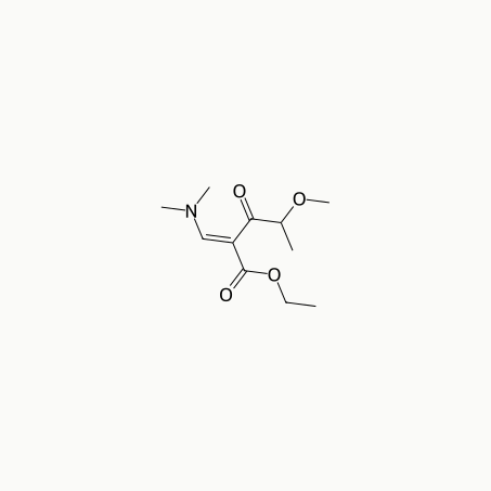 CCOC(=O)C(=CN(C)C)C(=O)C(C)OC